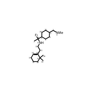 CNCC1CCC(C(C)(F)NCCC2=CCCCC2(C)C)CC1